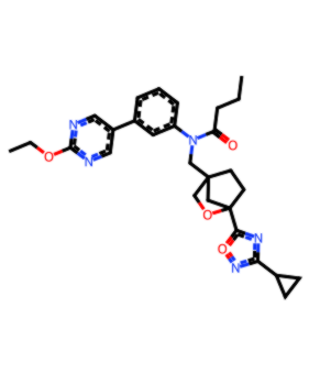 CCCC(=O)N(CC12CCC(c3nc(C4CC4)no3)(C1)OC2)c1cccc(-c2cnc(OCC)nc2)c1